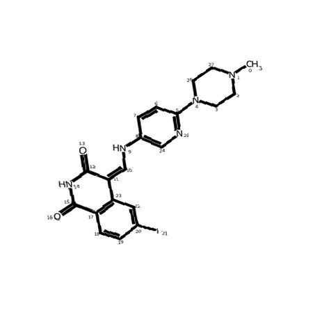 CN1CCN(c2ccc(NC=C3C(=O)NC(=O)c4ccc(I)cc43)cn2)CC1